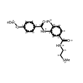 CCCCCCCCCCOc1ccc(C(=O)Nc2cc(C(=O)NCCSC)ccc2C(C)C)cc1